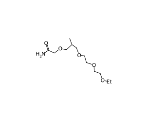 CCOCCOCCOCC(C)COCC(N)=O